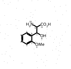 COc1ccccc1C(O)C(N)C(=O)O